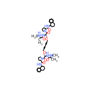 CN[C@@H](C)C(=O)N[C@@H](COCC#CC#CCOC[C@H](NC(=O)[C@H](C)NC)C(=O)N1CCC[C@H]1C(=O)N[C@@H]1CCCc2ccccc21)C(=O)N1CCCC1C(=O)N[C@@H]1CCCc2ccccc21